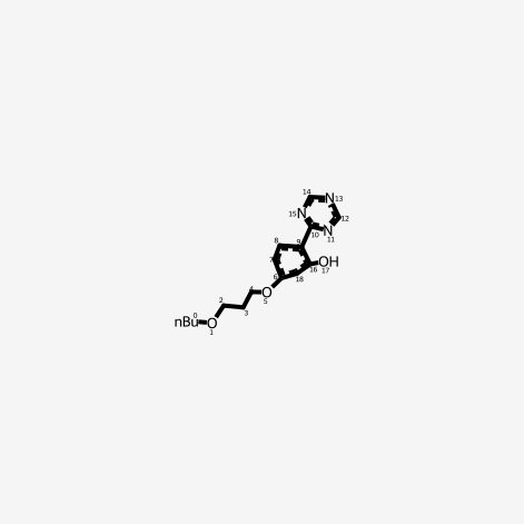 CCCCOCCCOc1ccc(-c2ncncn2)c(O)c1